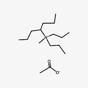 CC(=O)[O-].CCCC(CCC)[N+](C)(CCC)CCC